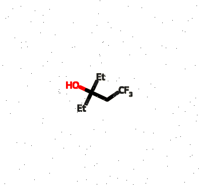 CCC(O)(CC)CC(F)(F)F